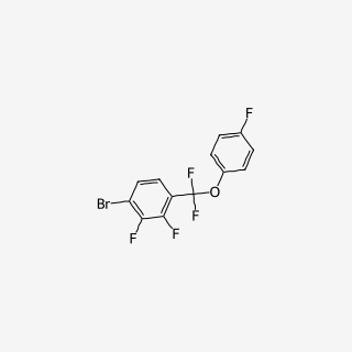 Fc1ccc(OC(F)(F)c2ccc(Br)c(F)c2F)cc1